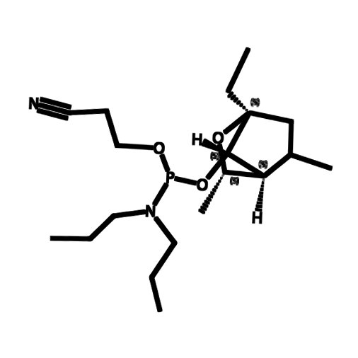 CCCN(CCC)P(OCCC#N)O[C@H]1[C@H]2C(C)C[C@]1(CC)O[C@H]2C